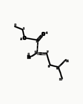 CCOC(=O)C(Br)=CCC(C)C